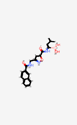 CC(C)CC(NC(=O)C1CC(CNC(=O)c2ccc3ccccc3c2)=NO1)B(O)O